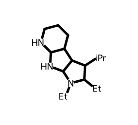 CCC1C(C(C)C)C2C3CCCNC3NC2N1CC